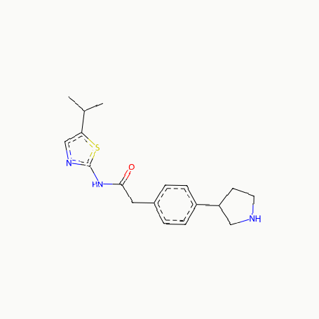 CC(C)c1cnc(NC(=O)Cc2ccc(C3CCNC3)cc2)s1